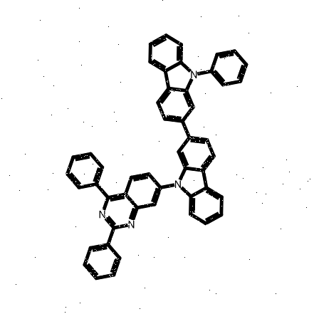 c1ccc(-c2nc(-c3ccccc3)c3ccc(-n4c5ccccc5c5ccc(-c6ccc7c8ccccc8n(-c8ccccc8)c7c6)cc54)cc3n2)cc1